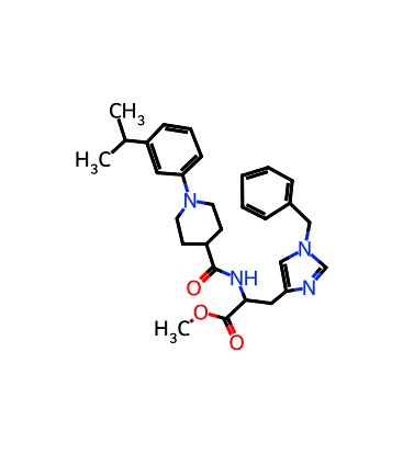 COC(=O)C(Cc1cn(Cc2ccccc2)cn1)NC(=O)C1CCN(c2cccc(C(C)C)c2)CC1